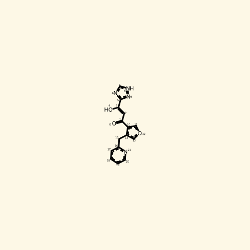 O=C(C=C(O)c1nc[nH]n1)c1cocc1Cc1ccccn1